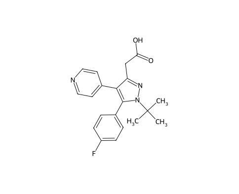 CC(C)(C)n1nc(CC(=O)O)c(-c2ccncc2)c1-c1ccc(F)cc1